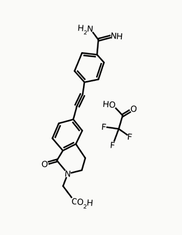 N=C(N)c1ccc(C#Cc2ccc3c(c2)CCN(CC(=O)O)C3=O)cc1.O=C(O)C(F)(F)F